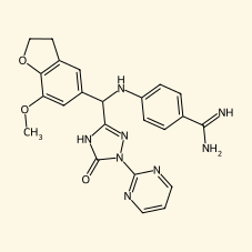 COc1cc(C(Nc2ccc(C(=N)N)cc2)c2nn(-c3ncccn3)c(=O)[nH]2)cc2c1OCC2